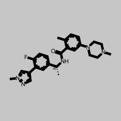 Cc1ccc(N2CCN(C)CC2)cc1C(=O)N[C@H](C)c1ccc(F)c(-c2cnn(C)c2)c1